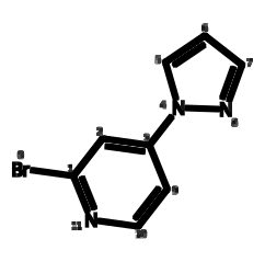 Brc1cc(-n2cccn2)ccn1